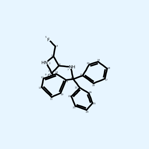 O=C1NC(CF)C1NC(c1ccccc1)(c1ccccc1)c1ccccc1